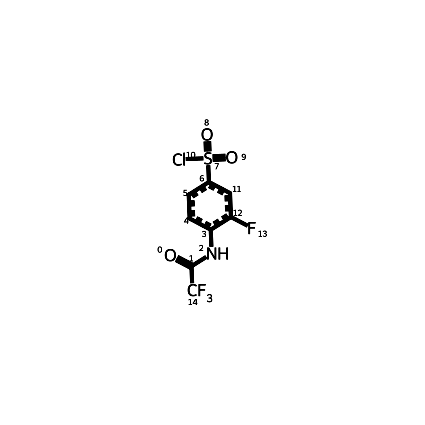 O=C(Nc1ccc(S(=O)(=O)Cl)cc1F)C(F)(F)F